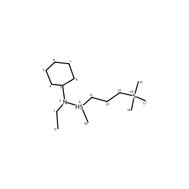 CCN(C1CCCCC1)[SH](C)CCCS(C)(C)C